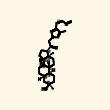 C=N/C=C\c1nn(CC(=O)[C@H]2CC[C@H]3[C@@H]4CC[C@@H]5C[C@](C)(O)CC[C@@H]5[C@H]4CC[C@]23C)cc1C